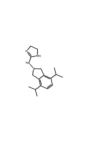 CC(C)c1ccc(C(C)C)c2c1CN(NC1=NCCN1)C2